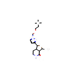 CSC1SC(c2ccn(COCC[Si](C)(C)C)n2)C2CCN(C(=O)O)C(=O)C12